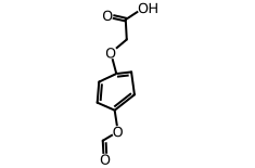 O=COc1ccc(OCC(=O)O)cc1